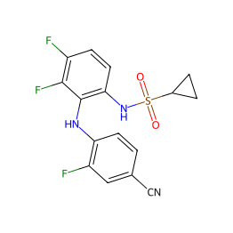 N#Cc1ccc(Nc2c(NS(=O)(=O)C3CC3)ccc(F)c2F)c(F)c1